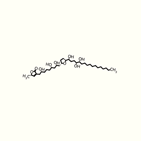 CCCCCCCCCCCC[C@@H](O)[C@@H](O)CC[C@H](O)[C@@H]1CC[C@@H](C[C@@H](O)C[C@@H](O)CCC[C@@H](O)CC2=C[C@H](C)OC2=O)O1